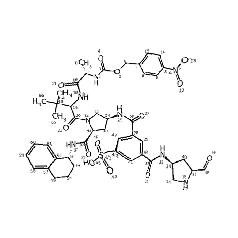 C[C@H](NC(=O)OCc1ccc([N+](=O)[O-])cc1)C(=O)NC(C(=O)N1C[C@@H](NC(=O)c2cc(C(=O)N[C@@H]3CN[C@H](C=O)C3)cc(S(=O)(=O)O)c2)C[C@H]1C(=O)N[C@@H]1CCCc2ccccc21)C(C)(C)C